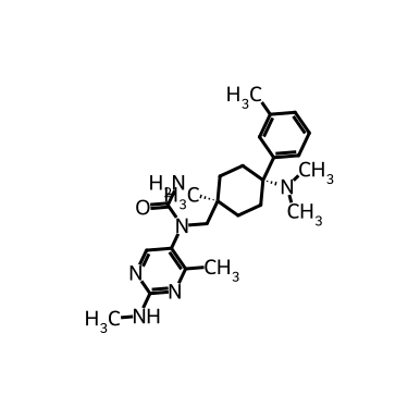 CNc1ncc(N(C[C@]2(C)CC[C@@](c3cccc(C)c3)(N(C)C)CC2)C(N)=O)c(C)n1